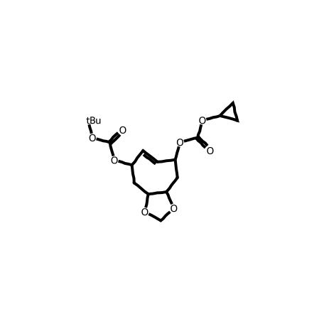 CC(C)(C)OC(=O)OC1/C=C/C(OC(=O)OC2CC2)CC2OCOC2C1